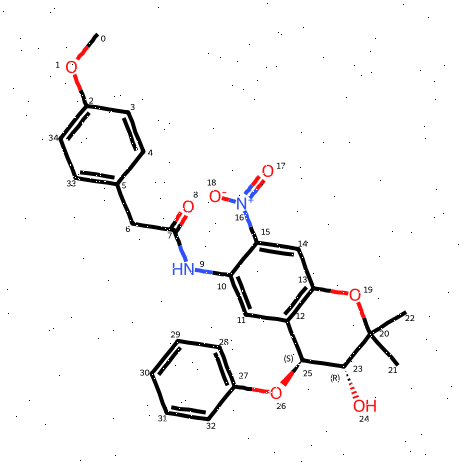 COc1ccc(CC(=O)Nc2cc3c(cc2[N+](=O)[O-])OC(C)(C)[C@H](O)[C@H]3Oc2ccccc2)cc1